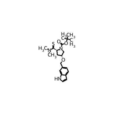 CN(C)C(=S)[C@@H]1C[C@@H](OCc2ccc3cc[nH]c3c2)CN1C(=O)OC(C)(C)C